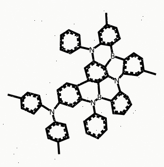 Cc1ccc(N(c2ccc(C)cc2)c2ccc3c(c2)N(c2ccccc2)B2c4ccccc4N4c5cc(C)ccc5B5c6ccc(C)cc6N(c6ccccc6)c6cc-3c2c4c65)cc1